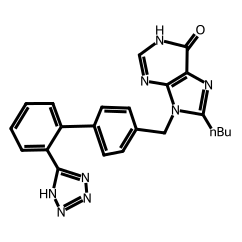 CCCCc1nc2c(=O)[nH]cnc2n1Cc1ccc(-c2ccccc2-c2nnn[nH]2)cc1